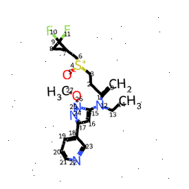 C=C(CC[S+]([O-])CC1CC1(F)F)N(CC)c1cc(-c2cccnc2)nn1OC